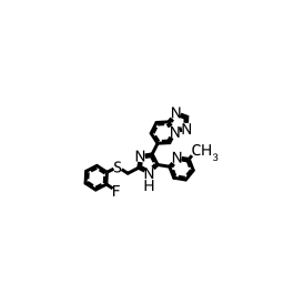 Cc1cccc(-c2[nH]c(CSc3ccccc3F)nc2-c2ccc3ncnn3c2)n1